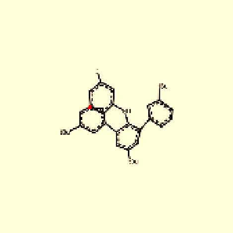 CC(C)(C)c1cccc(-c2cc(C(C)(C)C)cc(-c3cccc(C(C)(C)C)c3)c2Nc2cccc(Cl)c2)c1